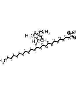 CCCCCCCCCCCCCCCCCCCCCCCS(=O)(=O)[O-].CC[N+](CC)(CC)CC